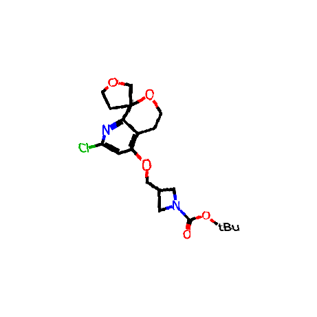 CC(C)(C)OC(=O)N1CC(COc2cc(Cl)nc3c2CCOC32CCOC2)C1